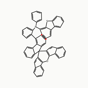 c1ccc(N(c2ccccc2-c2cccc3c2-c2ccccc2C32c3ccc4ccccc4c3Oc3c2ccc2ccccc32)c2cccc3c2sc2ccccc23)cc1